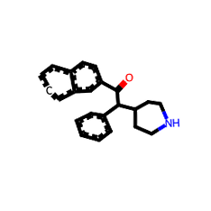 O=C(c1ccc2ccccc2c1)C(c1ccccc1)C1CCNCC1